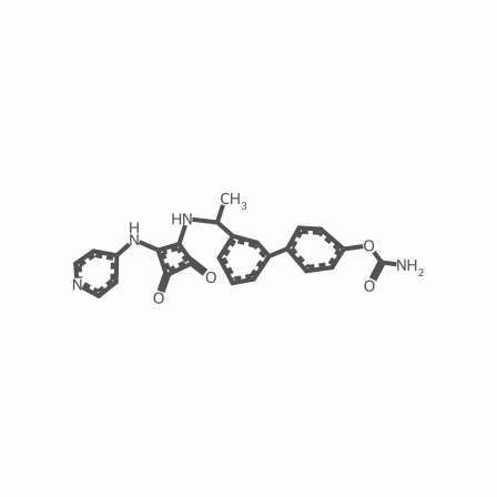 CC(Nc1c(Nc2ccncc2)c(=O)c1=O)c1cccc(-c2ccc(OC(N)=O)cc2)c1